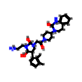 Cc1cccc(C2CN(CC(=O)N3CCC(N4CCc5ccccc5NC4=O)CC3)C(=O)N(CCN)C2O)c1C